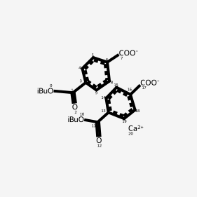 CC(C)COC(=O)c1ccc(C(=O)[O-])cc1.CC(C)COC(=O)c1ccc(C(=O)[O-])cc1.[Ca+2]